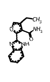 CCc1coc(-c2nc3ccccc3[nH]2)c1C(N)=O